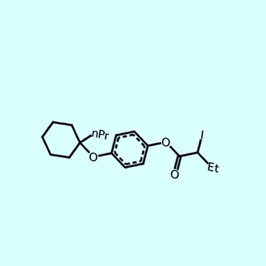 CCCC1(Oc2ccc(OC(=O)C(I)CC)cc2)CCCCC1